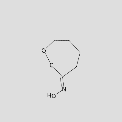 O/N=C1/CCCCOC1